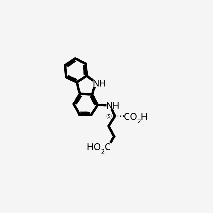 O=C(O)CC[C@H](Nc1cccc2c1[nH]c1ccccc12)C(=O)O